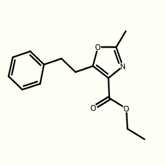 CCOC(=O)c1nc(C)oc1CCc1ccccc1